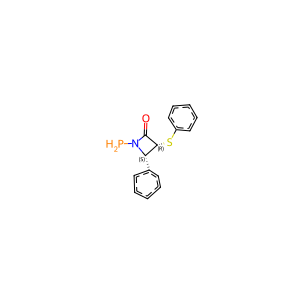 O=C1[C@H](Sc2ccccc2)[C@H](c2ccccc2)N1P